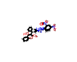 C/C(C[C@H](c1ccccc1)c1c(O)c2ccccc2oc1=O)=N\Nc1ccc([N+](=O)[O-])cc1[N+](=O)[O-]